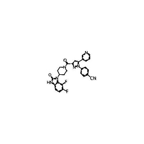 N#Cc1ccc(-n2nc(C(=O)N3CCC(n4c(=O)[nH]c5ccc(F)c(F)c54)CC3)cc2-c2cccnc2)cc1